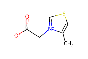 Cc1csc[n+]1CC(=O)[O-]